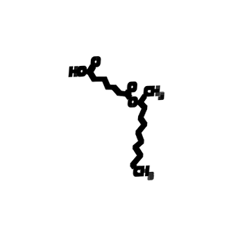 CCCCCCCCCC(C)OC(=O)CCCCCC(=O)O